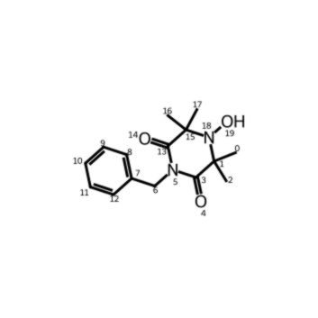 CC1(C)C(=O)N(Cc2ccccc2)C(=O)C(C)(C)N1O